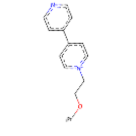 CC(C)OCC[n+]1ccc(-c2ccncc2)cc1